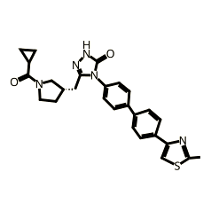 Cc1nc(-c2ccc(-c3ccc(-n4c(C[C@@H]5CCN(C(=O)C6CC6)C5)n[nH]c4=O)cc3)cc2)cs1